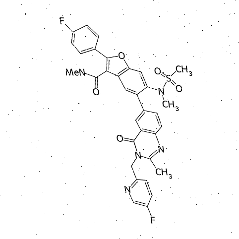 CNC(=O)c1c(-c2ccc(F)cc2)oc2cc(N(C)S(C)(=O)=O)c(-c3ccc4nc(C)n(Cc5ccc(F)cn5)c(=O)c4c3)cc12